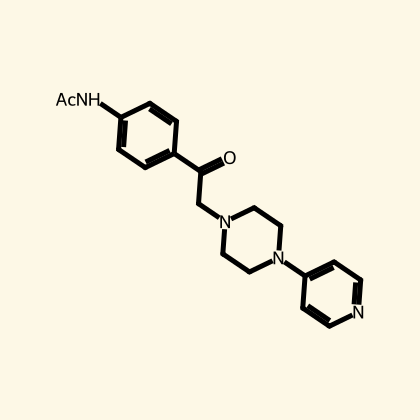 CC(=O)Nc1ccc(C(=O)CN2CCN(c3ccncc3)CC2)cc1